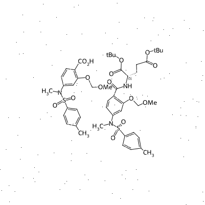 COCOc1cc(N(C)S(=O)(=O)c2ccc(C)cc2)ccc1C(=O)N[C@@H](CCC(=O)OC(C)(C)C)C(=O)OC(C)(C)C.COCOc1cc(N(C)S(=O)(=O)c2ccc(C)cc2)ccc1C(=O)O